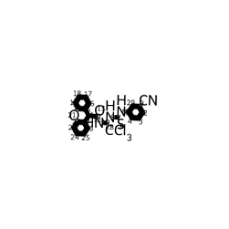 N#Cc1cccc(NC(=S)NC(NC(=O)C2c3ccccc3Oc3ccccc32)C(Cl)(Cl)Cl)c1